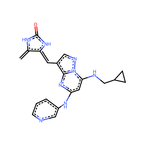 C=c1[nH]c(=O)[nH]/c1=C\c1cnn2c(NCC3CC3)cc(Nc3cccnc3)nc12